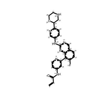 C=CC(=O)Nc1ccnc(-c2c(F)ccc3cnc(Nc4ccc(C5CNCCO5)nc4)nc23)c1